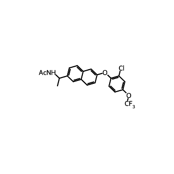 CC(=O)NC(C)c1ccc2cc(Oc3ccc(OC(F)(F)F)cc3Cl)ccc2c1